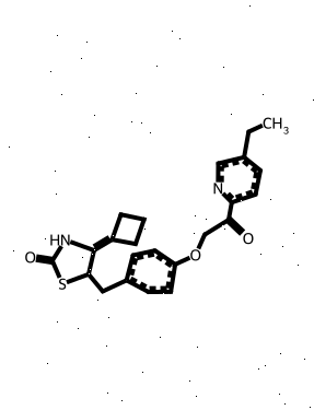 CCc1ccc(C(=O)COc2ccc(CC3SC(=O)NC3=C3CCC3)cc2)nc1